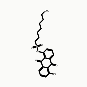 CCCCCCCCS(=O)(=O)Nc1cccc2c1C(=O)c1cccc(Cl)c1C2=O